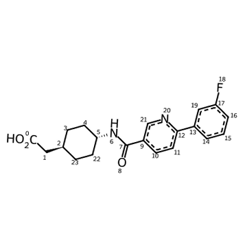 O=C(O)C[C@H]1CC[C@H](NC(=O)c2ccc(-c3cccc(F)c3)nc2)CC1